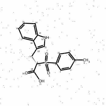 Cc1ccc(S(=O)(=O)[C@@H](Cc2c[nH]c3ccccc23)C(=O)O)cc1